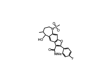 CNC(=O)c1c(-c2ccc(F)cc2)oc2cc3c(cc12)C(O)C(C)CCN3S(C)(=O)=O